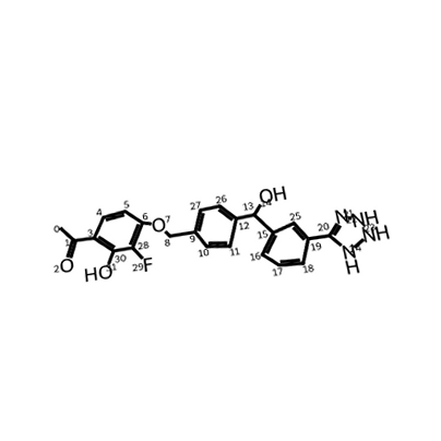 CC(=O)c1ccc(OCc2ccc(C(O)c3cccc(C4=NNNN4)c3)cc2)c(F)c1O